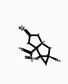 C=C1CN2C[C@@H]3C[C@@H]3C2(C(=O)OC)C1